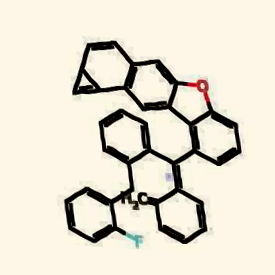 C=c1cccc/c1=C(/c1ccccc1Cc1ccccc1F)c1cccc2oc3cc4c(cc3c12)C1=CC1C=C4